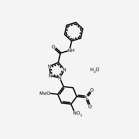 COC1=C(n2nnc(C(=O)Nc3ccccc3)n2)CC(=S(=O)=O)C([N+](=O)[O-])=C1.O